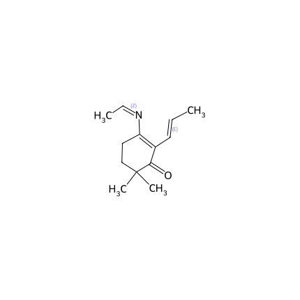 C/C=N\C1=C(/C=C/C)C(=O)C(C)(C)CC1